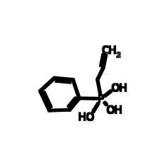 C=CCP(O)(O)(O)c1ccccc1